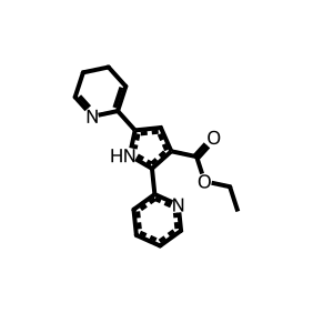 CCOC(=O)c1cc(C2=CCCC=N2)[nH]c1-c1ccccn1